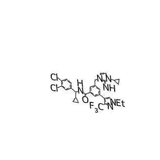 CCn1cc(-c2cc(Cn3ccn(C4CC4)c3=N)cc(C(=O)NC(c3ccc(Cl)c(Cl)c3)C3CC3)c2)c(C(F)(F)F)n1